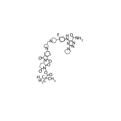 CC(C)(C)C(=O)OCN1C(=O)CCC(N2C(=O)c3ccc(N4CCC(CN5CCC(c6ccc(Nc7nc(N8CCCCC8)nnc7C(N)=O)cc6F)CC5)C4)cc3C2=O)C1=O